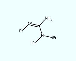 CC[O+]=C(N)N(C(C)C)C(C)C